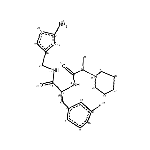 CC(C(=O)N[C@@H](Cc1cccc(F)c1)C(=O)NCc1cnc(N)s1)N1CCCCC1